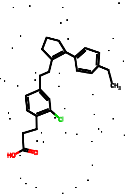 CCc1ccc(C2=C(CCc3ccc(CCC(=O)O)c(Cl)c3)CCC2)cc1